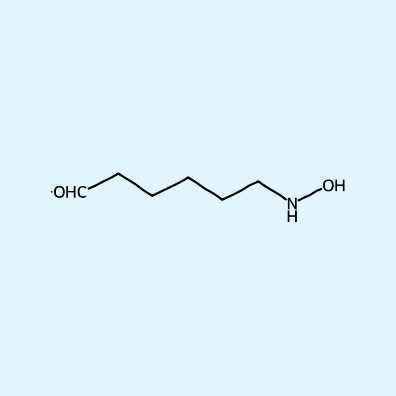 O=[C]CCCCCNO